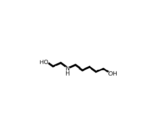 OCCCCCNCCO